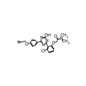 CN(C)C(=O)COc1cccc(Cl)c1-c1nc(O)nc(-c2ccc(OCC3CC3)cc2)n1